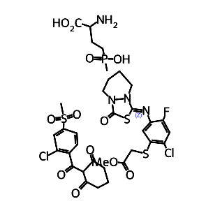 COC(=O)CSc1cc(/N=c2\sc(=O)n3n2CCCC3)c(F)cc1Cl.CP(=O)(O)CCC(N)C(=O)O.CS(=O)(=O)c1ccc(C(=O)C2C(=O)CCCC2=O)c(Cl)c1